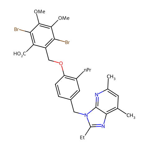 CCCc1cc(Cn2c(CC)nc3c(C)cc(C)nc32)ccc1OCc1c(Br)c(OC)c(OC)c(Br)c1C(=O)O